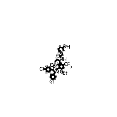 CCOc1cc(C(F)(F)F)ccc1C1=NC(c2ccc(Cl)cc2)C(c2ccc(Cl)cc2)N1C(=O)N1CCC(NC(=O)CN2CCCC(O)C2)CC1